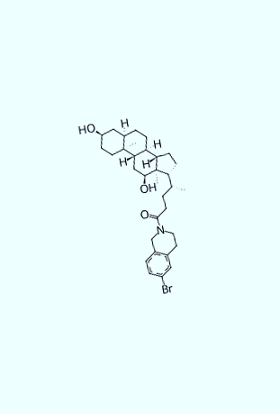 C[C@H](CCC(=O)N1CCc2cc(Br)ccc2C1)[C@H]1CC[C@H]2[C@@H]3CC[C@@H]4C[C@H](O)CC[C@]4(C)[C@H]3C[C@H](O)[C@]12C